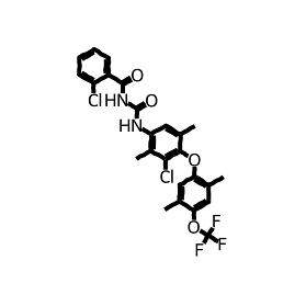 Cc1cc(OC(F)(F)F)c(C)cc1Oc1c(C)cc(NC(=O)NC(=O)c2ccccc2Cl)c(C)c1Cl